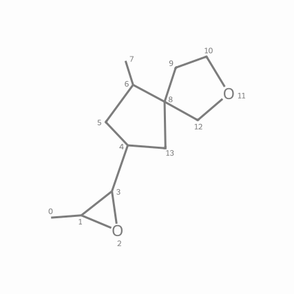 CC1OC1C1CC(C)C2(CCOC2)C1